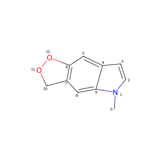 Cn1ccc2cc3c(cc21)COO3